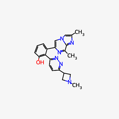 Cc1cn2cc(-c3cccc(O)c3-c3ccc(C4CN(C)C4)nn3)nc(C)c2n1